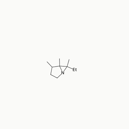 CCC1(C)N2CCC(C)C21C